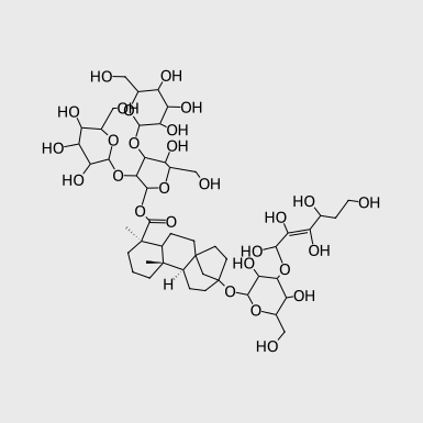 C[C@@]1(C(=O)OC2OC(CO)C(O)C(OC3OC(CO)C(O)C(O)C3O)C2OC2OC(CO)C(O)C(O)C2O)CCC[C@]2(C)C1CCC13CCC(OC4OC(CO)C(O)C(OC(O)/C(O)=C(\O)C(O)CCO)C4O)(CC[C@H]12)C3